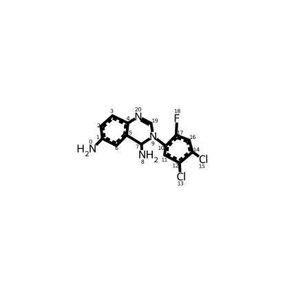 Nc1ccc2c(c1)C(N)N(c1cc(Cl)c(Cl)cc1F)C=N2